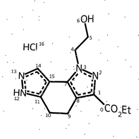 CCOC(=O)c1nn(CCO)c2c1CCc1[nH]ncc1-2.Cl